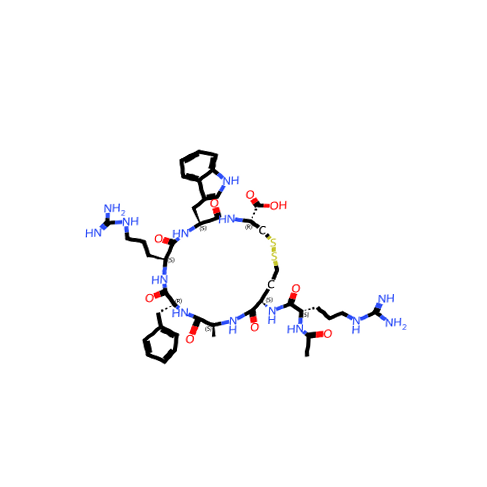 CC(=O)N[C@@H](CCCNC(=N)N)C(=O)N[C@H]1CCSSC[C@@H](C(=O)O)NC(=O)[C@H](Cc2c[nH]c3ccccc23)NC(=O)[C@H](CCCNC(=N)N)NC(=O)[C@@H](Cc2ccccc2)NC(=O)[C@H](C)NC1=O